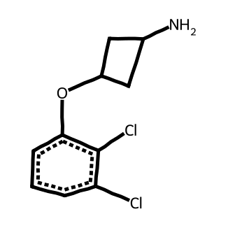 NC1CC(Oc2cccc(Cl)c2Cl)C1